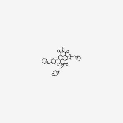 O=C1NC(=O)c2c(NCCN3CCCC3)cc3c4c(c(-c5ccc(CN6CCCCC6)cc5)cc1c24)C(=O)N(CCCN1CCOCC1)C3=O